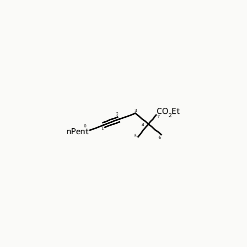 CCCCCC#CCC(C)(C)C(=O)OCC